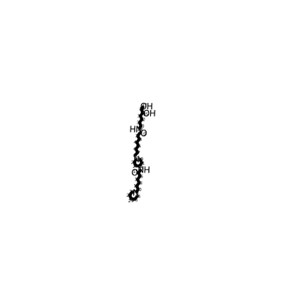 O=C(CCCCCCCN1CCC(NC(=O)CCCCCN2CCCCC2)CC1)NCCCCC(O)CO